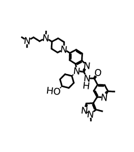 Cc1cc(C(=O)Nc2nc3ccc(N4CCC(N(C)CCN(C)C)CC4)cc3n2[C@H]2CC[C@@H](O)CC2)cc(-c2cnn(C)c2C)n1